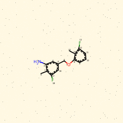 Cc1c(N)cc(COc2cccc(F)c2C)cc1F